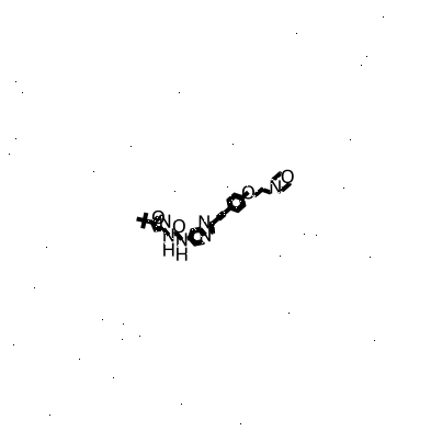 CC(C)(C)c1cc(NC(=O)Nc2ccn3cc(C#Cc4ccc(OCCCN5CCOCC5)cc4)nc3c2)no1